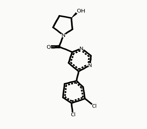 O=C(c1cc(-c2ccc(Cl)c(Cl)c2)ncn1)N1CC[C@@H](O)C1